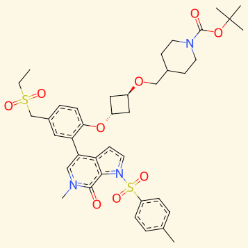 CCS(=O)(=O)Cc1ccc(O[C@H]2C[C@H](OCC3CCN(C(=O)OC(C)(C)C)CC3)C2)c(-c2cn(C)c(=O)c3c2ccn3S(=O)(=O)c2ccc(C)cc2)c1